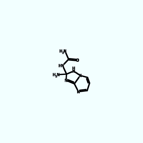 NC(=O)NC1(N)N=C2N=CC=CN2N1